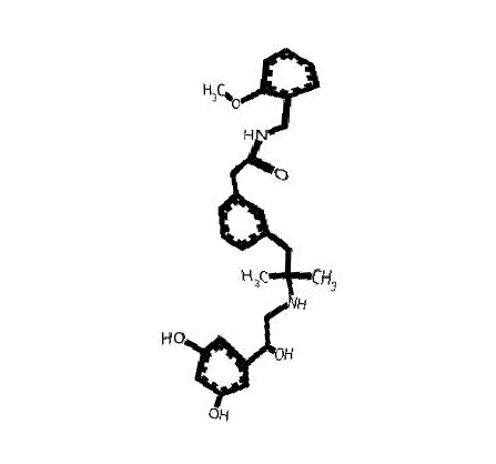 COc1ccccc1CNC(=O)Cc1cccc(CC(C)(C)NCC(O)c2cc(O)cc(O)c2)c1